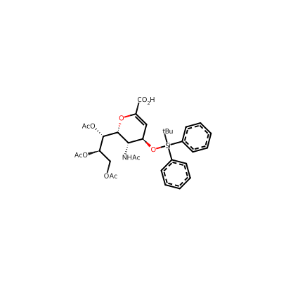 CC(=O)N[C@@H]1[C@H]([C@@H](OC(C)=O)[C@@H](COC(C)=O)OC(C)=O)OC(C(=O)O)=C[C@H]1O[Si](c1ccccc1)(c1ccccc1)C(C)(C)C